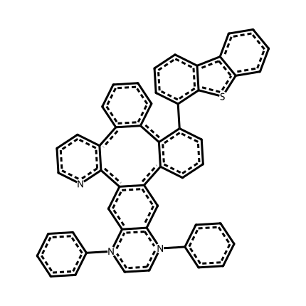 c1ccc(-n2ccn(-c3ccccc3)c3cc4c(cc32)c2cccc(-c3cccc5c3sc3ccccc35)c2c2ccccc2c2cccnc24)cc1